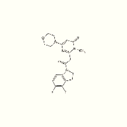 Cn1c(CC(=O)N2CCc3c2ccc(F)c3F)nc(N2CCOCC2)cc1=O